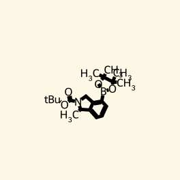 CC1c2cccc(B3OC(C)(C)C(C)(C)O3)c2CN1C(=O)OC(C)(C)C